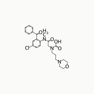 CN(C(=O)CN(CCCN1CCOCC1)C(=O)O)c1ccc(Cl)cc1C(=O)c1ccccc1